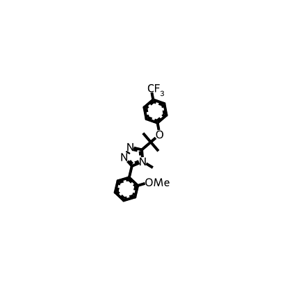 COc1ccccc1-c1nnc(C(C)(C)Oc2ccc(C(F)(F)F)cc2)n1C